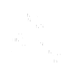 Cc1nnc(-n2ncc3c(N4CCN(C(=O)C(C)C)CC4)cc(S(=O)(=O)NC4(C)COC4)cc32)s1